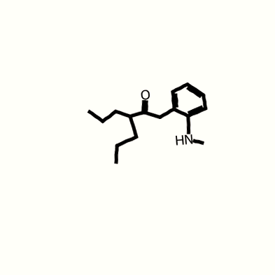 CCCC(CCC)C(=O)Cc1ccccc1NC